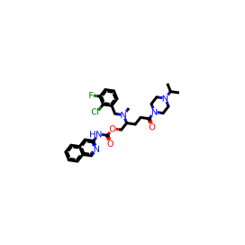 CC(C)N1CCN(C(=O)CCC(COC(=O)Nc2cc3ccccc3cn2)N(C)Cc2cccc(F)c2Cl)CC1